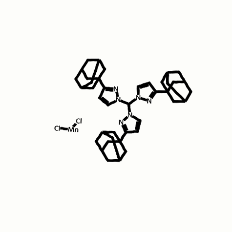 [Cl][Mn][Cl].c1cn(C(n2ccc(C34CC5CC(CC(C5)C3)C4)n2)n2ccc(C34CC5CC(CC(C5)C3)C4)n2)nc1C12CC3CC(CC(C3)C1)C2